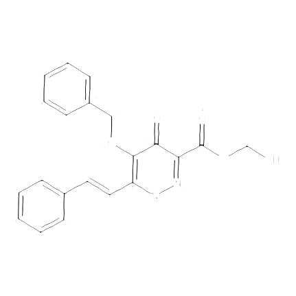 CCOC(=O)c1n[nH]c(/C=C/c2ccccc2)c(OCc2ccccc2)c1=O